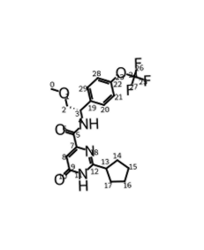 COC[C@@H](NC(=O)c1cc(=O)[nH]c(C2CCCC2)n1)c1ccc(OC(F)(F)F)cc1